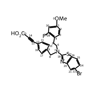 COc1ccc(CCN(Cc2ccc(C#CC(=O)O)cc2)c2nc3cc(Br)ccc3s2)c(F)c1